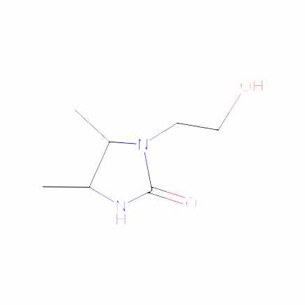 CC1NC(=O)N(CCO)C1C